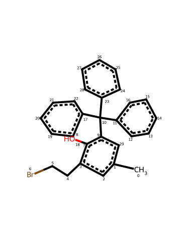 Cc1cc(CCBr)c(O)c(C(c2ccccc2)(c2ccccc2)c2ccccc2)c1